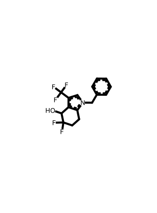 OC1c2c(C(F)(F)F)cn(Cc3ccccc3)c2CCC1(F)F